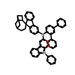 c1ccc(-c2ccc(N(c3ccc4c(c3)-c3ccccc3C43CCC4CC5CC3C5C4)c3ccc4c(c3)c3ccccc3n4-c3ccccc3)c(-c3ccccc3)c2)cc1